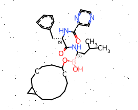 CC(C)C[C@H](NC(=O)[C@H](Cc1ccccc1)NC(=O)c1cnccn1)B(O)OC1CCCCCCC2CC2CCCC1